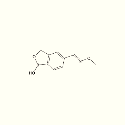 CON=Cc1ccc2c(c1)COB2O